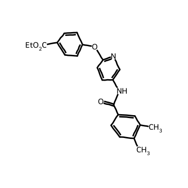 CCOC(=O)c1ccc(Oc2ccc(NC(=O)c3ccc(C)c(C)c3)cn2)cc1